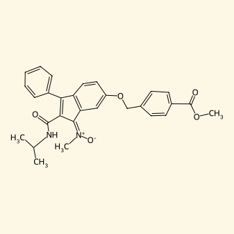 COC(=O)c1ccc(COc2ccc3c(c2)/C(=[N+](/C)[O-])C(C(=O)NC(C)C)=C3c2ccccc2)cc1